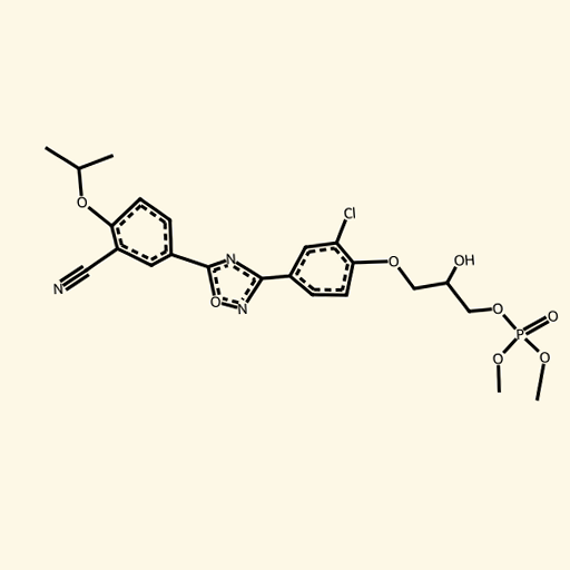 COP(=O)(OC)OCC(O)COc1ccc(-c2noc(-c3ccc(OC(C)C)c(C#N)c3)n2)cc1Cl